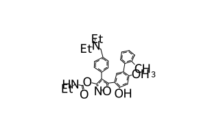 CCNC(=O)Oc1noc(-c2cc(-c3ccccc3C)c(O)cc2O)c1-c1ccc(CN(CC)CC)cc1